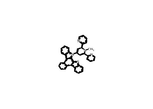 CN1C(c2ccccn2)=CC(n2c3ccccc3c3c4ccccc4c4c5ccccc5sc4c32)=CC1c1ccccn1